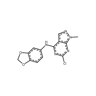 Cn1ncc2c(Nc3ccc4c(c3)OCO4)nc(Cl)nc21